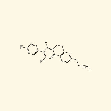 CCCc1ccc2c(c1)CCc1c-2cc(F)c(-c2ccc(F)cc2)c1F